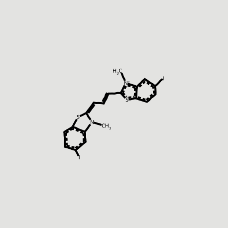 CN1C(=CC=Cc2sc3ccc(I)cc3[n+]2C)Sc2ccc(I)cc21